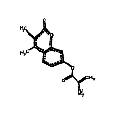 C=C(C)C(=O)Oc1ccc2c(C)c(C)c(=O)oc2c1